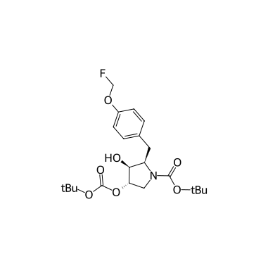 CC(C)(C)OC(=O)O[C@H]1CN(C(=O)OC(C)(C)C)[C@H](Cc2ccc(OCF)cc2)[C@@H]1O